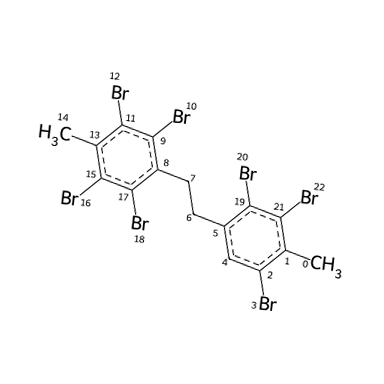 Cc1c(Br)cc(CCc2c(Br)c(Br)c(C)c(Br)c2Br)c(Br)c1Br